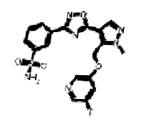 Cn1ncc(-c2nc(-c3cccc(S(N)(=O)=O)c3)no2)c1COc1cncc(F)c1